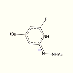 CC(=O)N/N=c1/cc(C(C)(C)C)cc(F)[nH]1